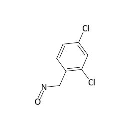 O=NCc1ccc(Cl)cc1Cl